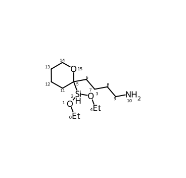 CCO[SiH](OCC)C1(CCCCN)CCCCO1